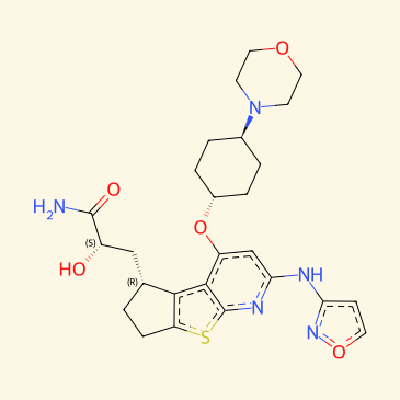 NC(=O)[C@@H](O)C[C@H]1CCc2sc3nc(Nc4ccon4)cc(O[C@H]4CC[C@H](N5CCOCC5)CC4)c3c21